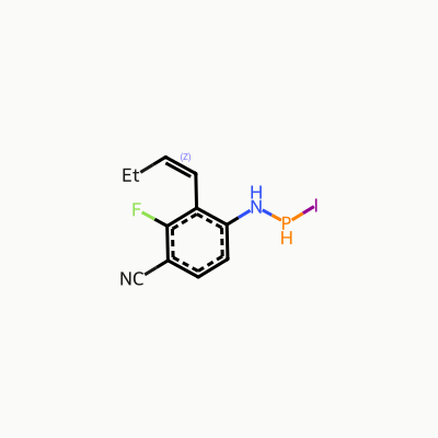 CC/C=C\c1c(NPI)ccc(C#N)c1F